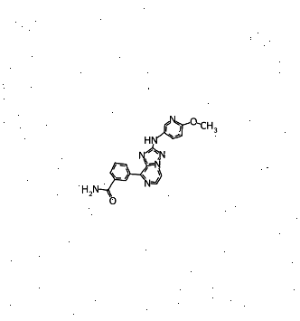 COc1ccc(Nc2nc3c(-c4cccc(C(N)=O)c4)nccn3n2)cn1